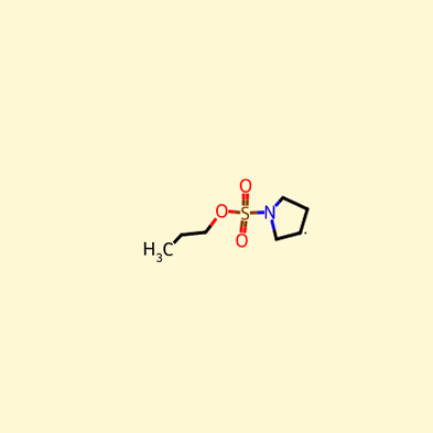 CCCOS(=O)(=O)N1C[CH]CC1